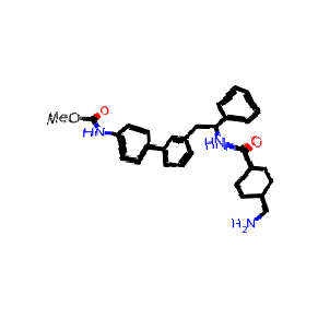 COC(=O)Nc1ccc(-c2cccc(CC(NC(=O)C3CCC(CN)CC3)c3ccccc3)c2)cc1